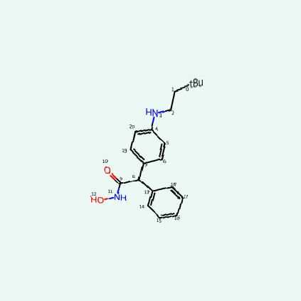 CC(C)(C)CCNc1ccc(C(C(=O)NO)c2ccccc2)cc1